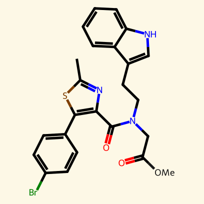 COC(=O)CN(CCc1c[nH]c2ccccc12)C(=O)c1nc(C)sc1-c1ccc(Br)cc1